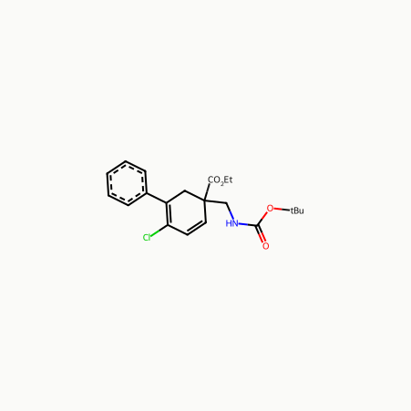 CCOC(=O)C1(CNC(=O)OC(C)(C)C)C=CC(Cl)=C(c2ccccc2)C1